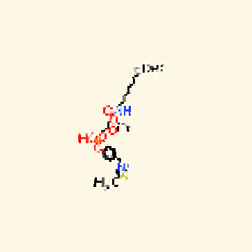 CCCCCCCCCCCCCCCCCCNC(=O)OCC(COP(O)Oc1ccc(C[n+]2csc(C)c2)cc1)OC(C)C